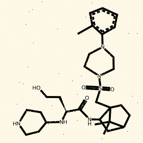 Cc1ccccc1N1CCN(S(=O)(=O)CC23CCC(CC2NC(=O)[C@H](CCO)NC2CCNCC2)C3(C)C)CC1